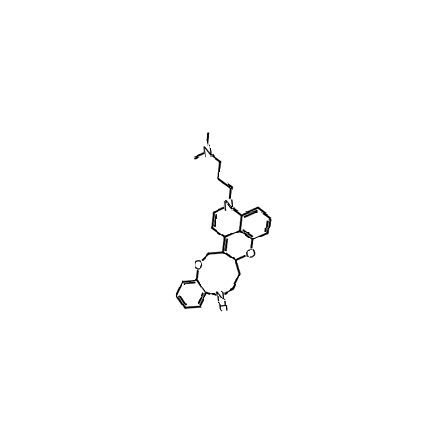 CN(C)CCCN1C=CC2=C3COc4ccccc4NCCC3Oc3cccc1c32